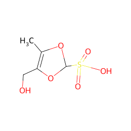 CC1=C(CO)OC(S(=O)(=O)O)O1